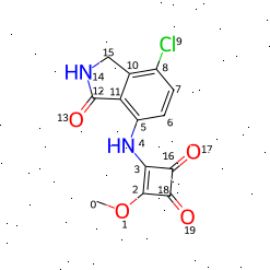 COc1c(Nc2ccc(Cl)c3c2C(=O)NC3)c(=O)c1=O